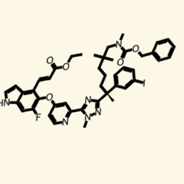 CCOC(=O)/C=C/c1c(Oc2ccnc(-c3nc([C@](C)(CCCC(C)(C)CN(C)C(=O)OCc4ccccc4)c4cccc(I)c4)nn3C)c2)c(F)cc2[nH]ccc12